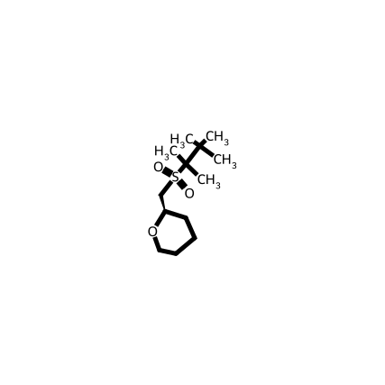 CC(C)(C)C(C)(C)S(=O)(=O)C[C@H]1CCCCO1